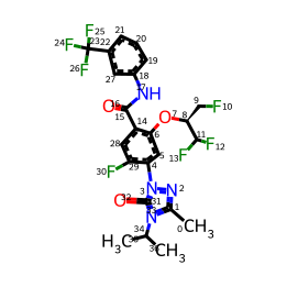 Cc1nn(-c2cc(O[C@@H](CF)C(F)F)c(C(=O)Nc3cccc(C(F)(F)F)c3)cc2F)c(=O)n1C(C)C